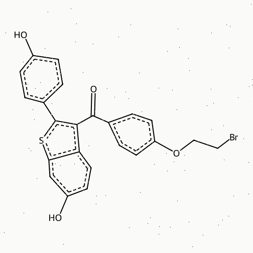 O=C(c1ccc(OCCBr)cc1)c1c(-c2ccc(O)cc2)sc2cc(O)ccc12